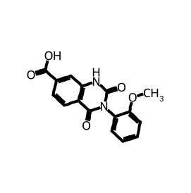 COc1ccccc1-n1c(=O)[nH]c2cc(C(=O)O)ccc2c1=O